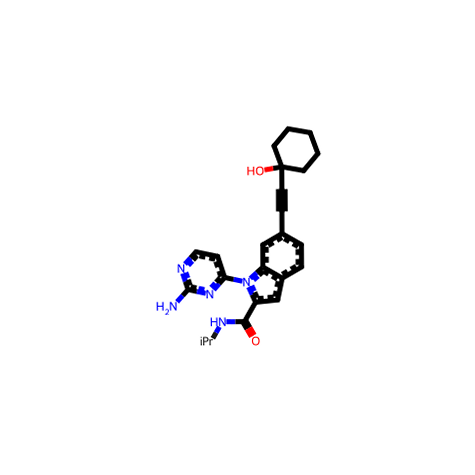 CC(C)NC(=O)c1cc2ccc(C#CC3(O)CCCCC3)cc2n1-c1ccnc(N)n1